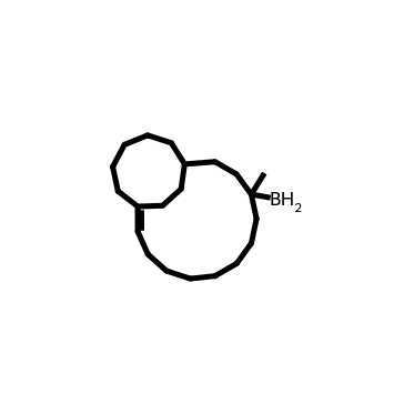 BC1(C)CCCCCCC/C=C2/CCCCCC(CC2)CC1